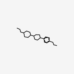 CCCc1ccc(C2CCC(C3CCC(CCC)CC3)CC2)cc1